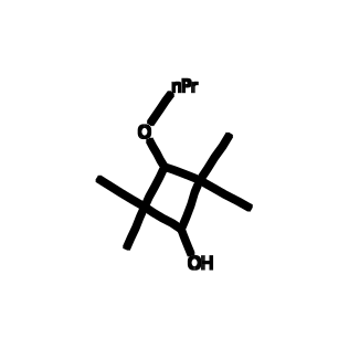 CCCOC1C(C)(C)C(O)C1(C)C